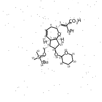 CCCC(=C[C@H]1CC=C[C@@H]2[C@@H](CO[Si](C)(C)C(C)(C)C)[C@H](OC3CCCCO3)C[C@@H]2O1)C(=O)O